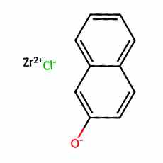 [Cl-].[O-]c1ccc2ccccc2c1.[Zr+2]